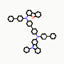 C1=CC(c2ccccc2)CC=C1N(c1ccc(-c2ccc(N(c3ccc(-c4ccccc4)cc3)c3cccc4c3oc3ccccc34)cc2)cc1)c1ccc2c(c1)c1ccccc1n2-c1ccccc1